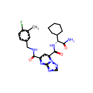 Cc1cc(CNC(=O)c2cc(C(=O)N[C@@H](C(N)=O)C3CCCCC3)n3ncnc3n2)ccc1F